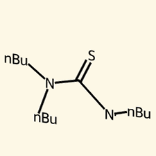 CCCC[N]C(=S)N(CCCC)CCCC